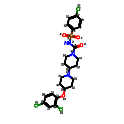 O=C(NS(=O)(=O)c1ccc(Cl)cc1)N1CCC(N2CCC(Oc3ccc(Cl)cc3Cl)CC2)CC1